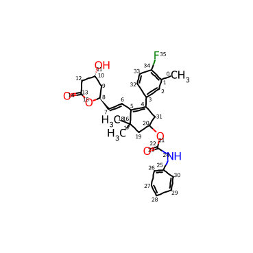 Cc1cc(C2=C(/C=C/[C@@H]3C[C@@H](O)CC(=O)O3)C(C)(C)CC(OC(=O)Nc3ccccc3)C2)ccc1F